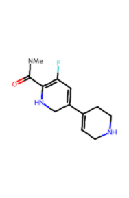 CNC(=O)C1=C(F)C=C(C2=CCNCC2)CN1